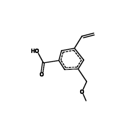 C=Cc1cc(COC)cc(C(=O)O)c1